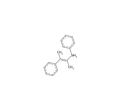 CC([SiH2]c1ccccc1)=C(C)c1ccccc1